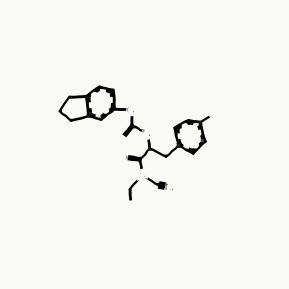 CCN(C#N)C(=O)C(Cc1ccc(O)cc1)NC(=O)Nc1ccc2c(c1)CCC2